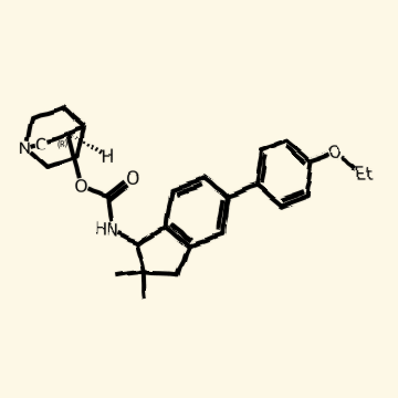 CCOc1ccc(-c2ccc3c(c2)CC(C)(C)C3NC(=O)O[C@H]2CN3CCC2CC3)cc1